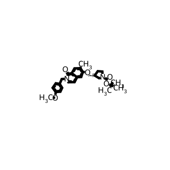 COc1ccc(Cn2ccc3cc(OC[C@@H]4CCN(C(=O)OC(C)(C)C)C4)c(C)cc3c2=O)cc1